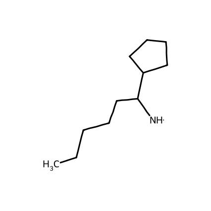 CCCCCC([NH])C1CCCC1